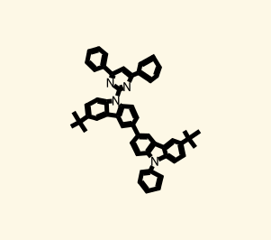 CC(C)(C)c1ccc2c(c1)c1cc(-c3ccc4c(c3)c3cc(C(C)(C)C)ccc3n4-c3nc(-c4ccccc4)cc(-c4ccccc4)n3)ccc1n2-c1ccccc1